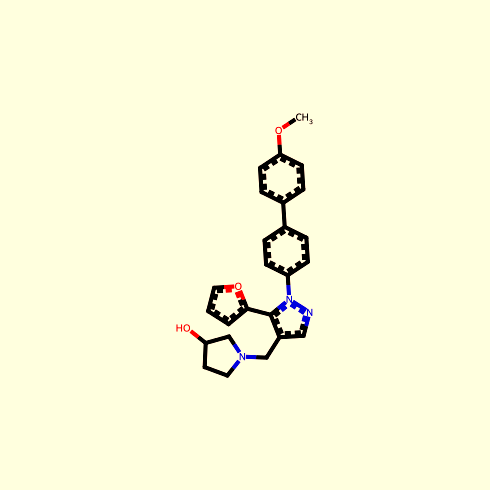 COc1ccc(-c2ccc(-n3ncc(CN4CCC(O)C4)c3-c3ccco3)cc2)cc1